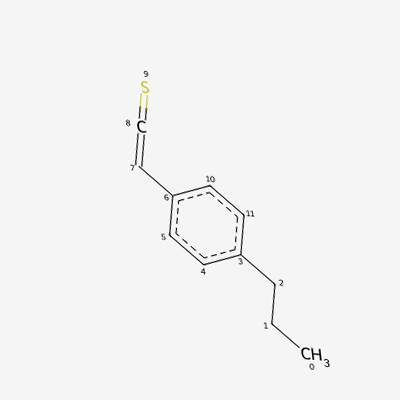 CCCc1ccc(C=C=S)cc1